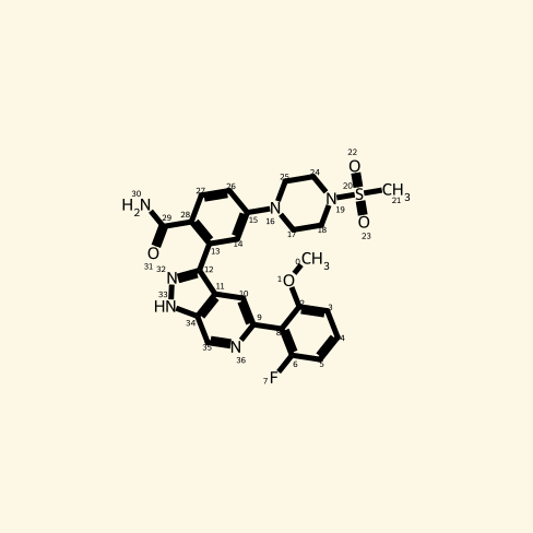 COc1cccc(F)c1-c1cc2c(-c3cc(N4CCN(S(C)(=O)=O)CC4)ccc3C(N)=O)n[nH]c2cn1